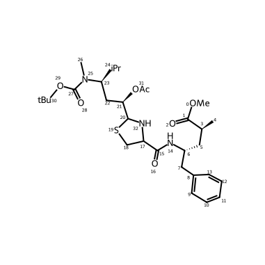 COC(=O)[C@@H](C)C[C@H](Cc1ccccc1)NC(=O)C1CSC([C@@H](C[C@H](C(C)C)N(C)C(=O)OC(C)(C)C)OC(C)=O)N1